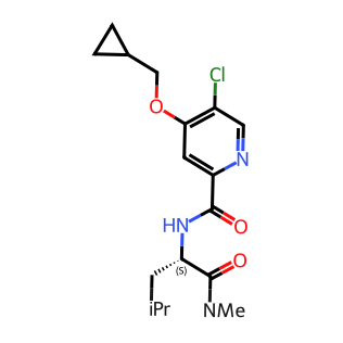 CNC(=O)[C@H](CC(C)C)NC(=O)c1cc(OCC2CC2)c(Cl)cn1